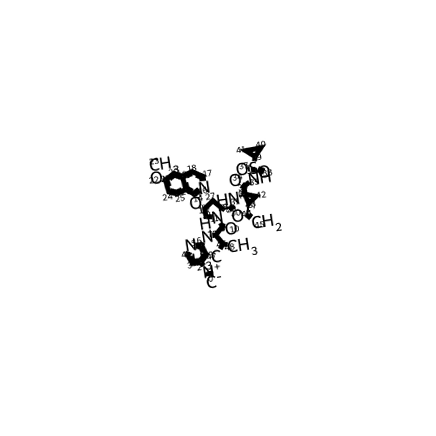 [C-]#[N+]c1ccnc(NC(C(=O)N2C[C@H](Oc3nccc4cc(OC)ccc34)C[C@H]2C(=O)N[C@]2(C(=O)NS(=O)(=O)C3CC3)C[C@H]2C=C)C(C)C)c1